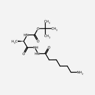 C[C@@H](NC(=O)OC(C)(C)C)C(=O)NNC(=O)CCCCCN